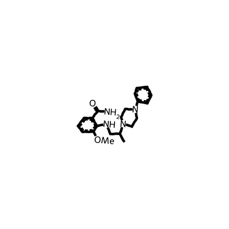 COc1cccc(C(N)=O)c1NCC(C)N1CCN(c2ccccc2)CC1